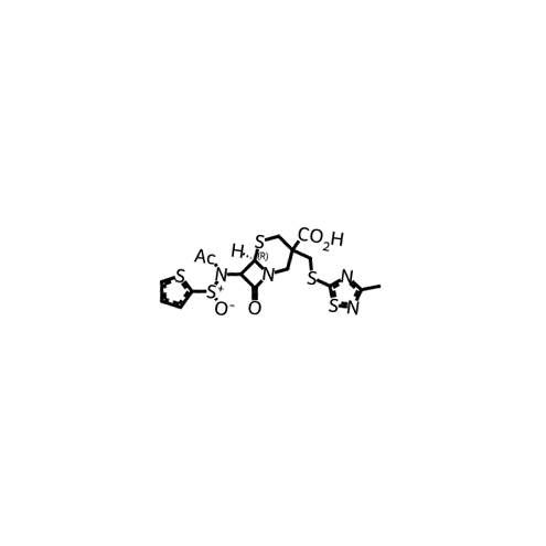 CC(=O)N(C1C(=O)N2CC(CSc3nc(C)ns3)(C(=O)O)CS[C@H]12)[S+]([O-])c1cccs1